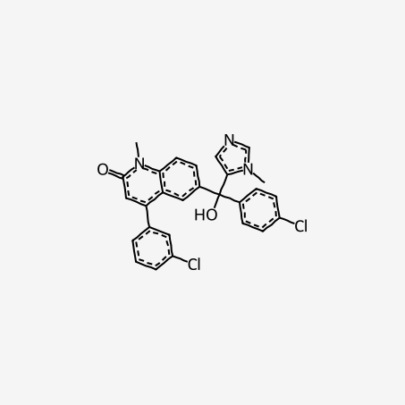 Cn1cncc1C(O)(c1ccc(Cl)cc1)c1ccc2c(c1)c(-c1cccc(Cl)c1)cc(=O)n2C